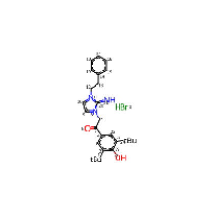 Br.CC(C)(C)c1cc(C(=O)Cn2ccn(CCc3ccccc3)c2=N)cc(C(C)(C)C)c1O